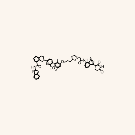 Cc1c(OCCC[C@H]2CCN(CC(=O)Nc3cccc4c(C5CCC(=O)NC5=O)nn(C)c34)C2)cccc1-c1ccc(N2CCc3cccc(C(=O)Nc4nc5ccccc5s4)c3C2)nc1C(=O)O